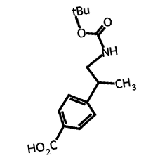 CC(CNC(=O)OC(C)(C)C)c1ccc(C(=O)O)cc1